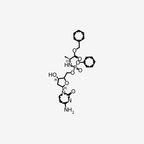 C[C@H](NP(=O)(OCC1O[C@@H](n2ccc(N)nc2=O)C[C@H]1O)Oc1ccccc1)C(=O)OCc1ccccc1